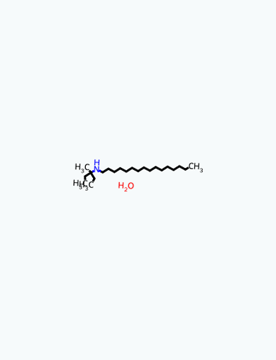 CCCCCCCCCCCCCCCCNC(C)(CC)CC.O